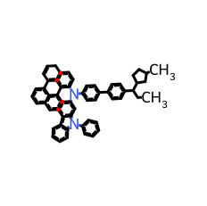 CCC(c1ccc(-c2ccc(N(c3ccc4c5ccccc5n(-c5ccccc5)c4c3)c3ccccc3-c3cccc4cccc(C5=CCCC=C5)c34)cc2)cc1)C1CCC(C)C1